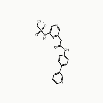 CCS(=O)(=O)Nc1cncc(CC(=O)Nc2ccc(-c3cccnc3)cc2)n1